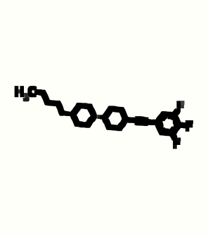 CCCCC[C@H]1CC[C@H](C2CCC(C#Cc3cc(F)c(F)c(F)c3)CC2)CC1